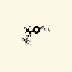 COc1ccc(/C(=N/OS(C)(=O)=O)C(F)(F)F)cc1